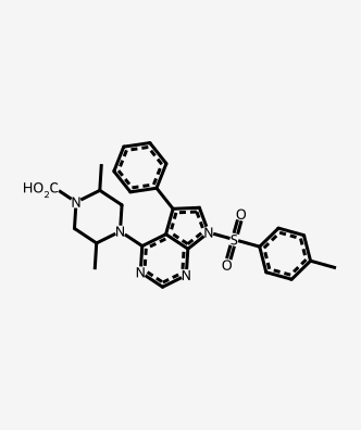 Cc1ccc(S(=O)(=O)n2cc(-c3ccccc3)c3c(N4CC(C)N(C(=O)O)CC4C)ncnc32)cc1